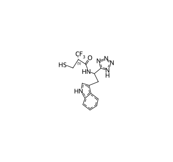 O=C(NC(Cc1c[nH]c2ccccc12)c1nnn[nH]1)[C@H](CS)C(F)(F)F